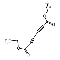 O=C(C#CC#CC(=O)OCC(F)(F)F)OCC(F)(F)F